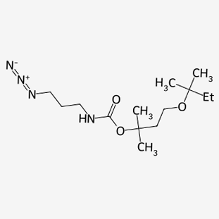 CCC(C)(C)OCCC(C)(C)OC(=O)NCCCN=[N+]=[N-]